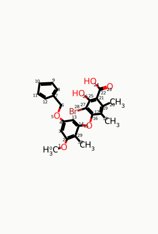 COc1cc(OCc2ccccc2)cc(Oc2c(C)c(C)c(C(=O)O)c(O)c2Br)c1C